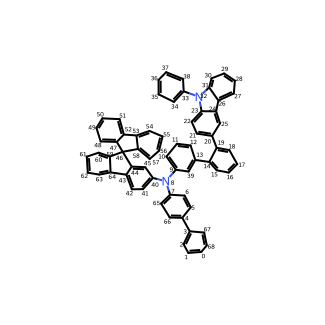 c1ccc(-c2ccc(N(c3cccc(-c4ccccc4-c4ccc5c(c4)c4ccccc4n5-c4ccccc4)c3)c3ccc4c(c3)C3(c5ccccc5-c5ccccc53)c3ccccc3-4)cc2)cc1